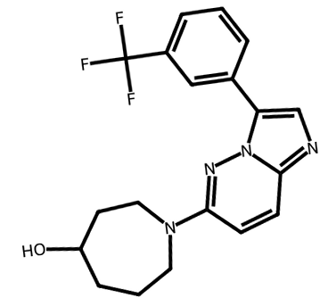 OC1CCCN(c2ccc3ncc(-c4cccc(C(F)(F)F)c4)n3n2)CC1